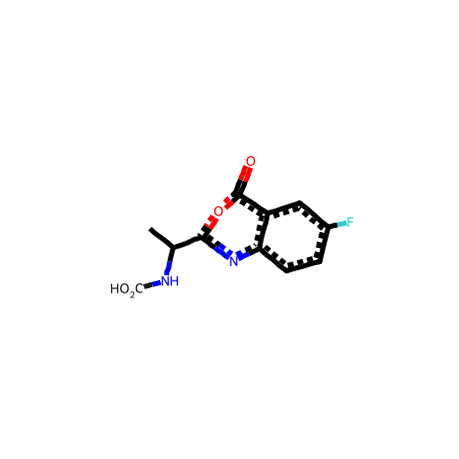 CC(NC(=O)O)c1nc2ccc(F)cc2c(=O)o1